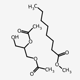 CC(=O)OCC(CO)OC(C)=O.CCCCCCCC(=O)OC